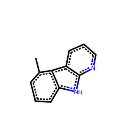 Cc1cccc2[nH]c3ncccc3c12